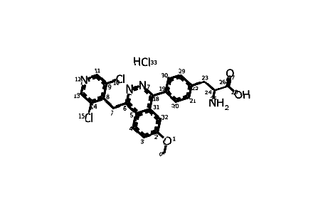 COc1ccc2c(Cc3c(Cl)cncc3Cl)nnc(-c3ccc(CC(N)C(=O)O)cc3)c2c1.Cl